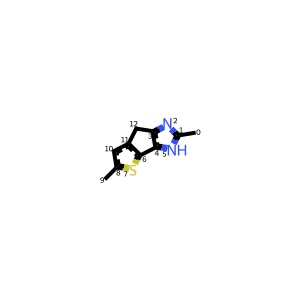 Cc1nc2c([nH]1)-c1sc(C)cc1C2